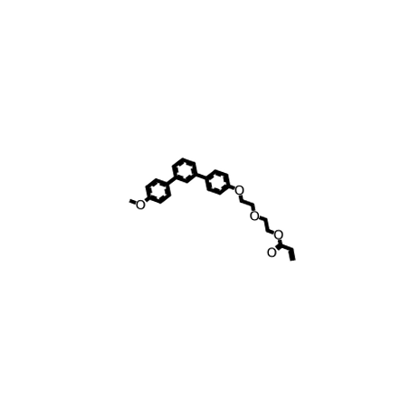 C=CC(=O)OCCOCCOc1ccc(-c2cccc(-c3ccc(OC)cc3)c2)cc1